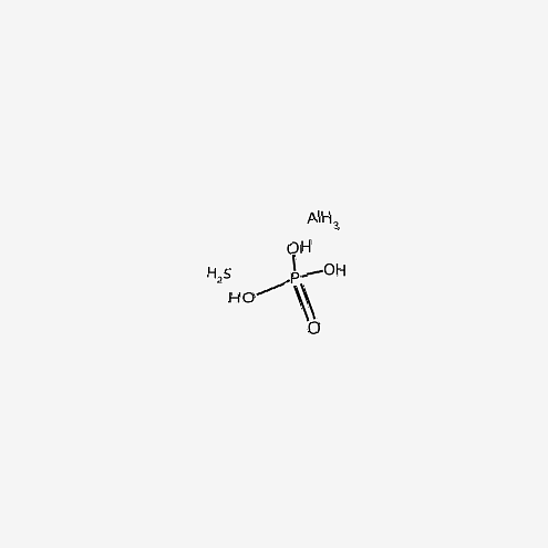 O=P(O)(O)O.S.[AlH3]